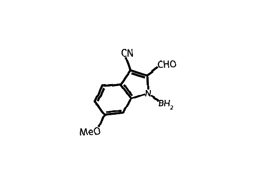 Bn1c(C=O)c(C#N)c2ccc(OC)cc21